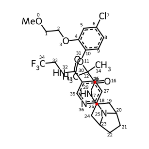 COCCOc1cc(Cl)ccc1OC(C)(C)C(=O)NC1CC2CCC(C1)N2c1ccc(C(=O)NCC(F)(F)F)cn1